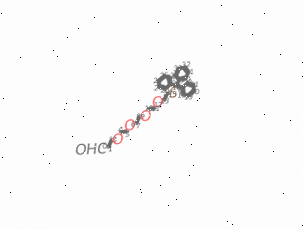 O=CCCOCCOCCOCCOCCSC(c1ccccc1)(c1ccccc1)c1ccccc1